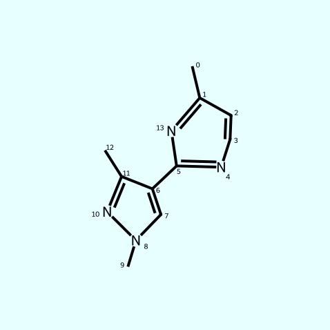 Cc1ccnc(-c2cn(C)nc2C)n1